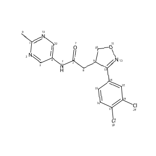 Cc1ncc(NC(=O)CC2CON=C2c2ccc(Cl)c(Cl)c2)cn1